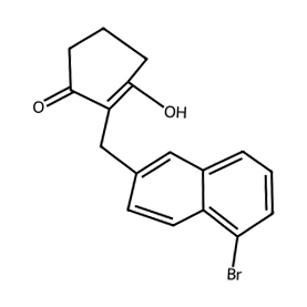 O=C1CCCC(O)=C1Cc1ccc2c(Br)cccc2c1